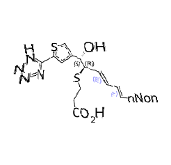 CCCCCCCCC/C=C/C=C/[C@@H](SCCC(=O)O)[C@@H](O)c1csc(-c2nnn[nH]2)c1